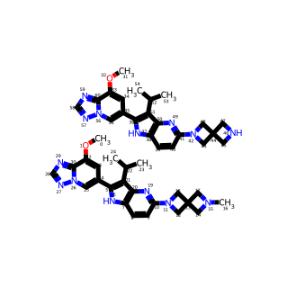 COc1cc(-c2[nH]c3ccc(N4CC5(CN(C)C5)C4)nc3c2C(C)C)cn2ncnc12.COc1cc(-c2[nH]c3ccc(N4CC5(CNC5)C4)nc3c2C(C)C)cn2ncnc12